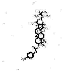 CC(=O)O[C@@H]([C@H]1C[C@@H](C)[C@H]2[C@H](O1)[C@H](O)[C@@]1(C)[C@@H]3CC[C@H]4C(C)(C)[C@@H](OC(=O)Oc5ccc([N+](=O)[O-])cc5)CCC45C[C@@]35CC[C@]21C)C(C)(C)O